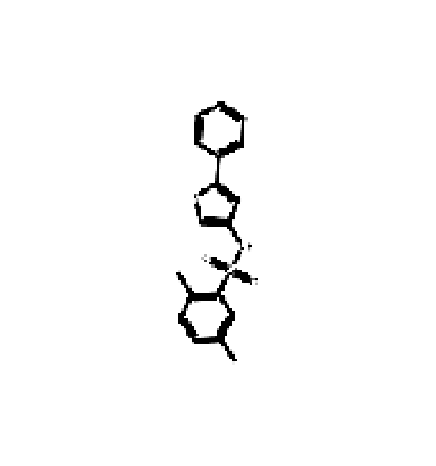 Cc1ccc(C)c(S(=O)(=O)Nc2csc(-c3ccccc3)c2)c1